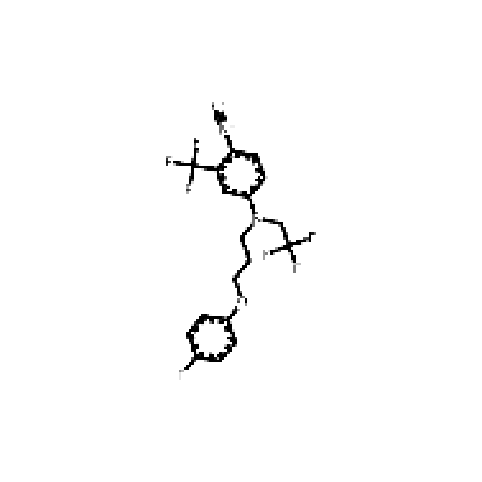 [C-]#[N+]c1ccc(N(CCCOc2ccc(F)cc2)CC(F)(F)F)cc1C(F)(F)F